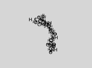 CC(=O)c1c(C)c2cnc(Nc3ccc(N4CCN(C(=O)CNc5ccc6c(c5)C(=O)N(C5CCC(=O)NC5=O)C6=O)CC4)cn3)nc2n(C2CCCC2)c1=O